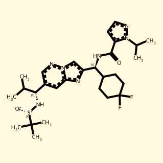 CC(C)[C@@H](N[S@@+]([O-])C(C)(C)C)c1cnn2cc([C@@H](NC(=O)c3ccnn3C(C)C)C3CCC(F)(F)CC3)nc2c1